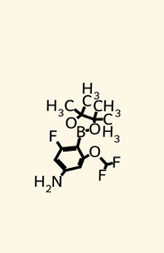 CC1(C)OB(c2c(F)cc(N)cc2OC(F)F)OC1(C)C